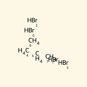 Br.Br.Br.Br.C.C.C.C